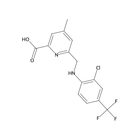 Cc1cc(CNc2ccc(C(F)(F)F)cc2Cl)nc(C(=O)O)c1